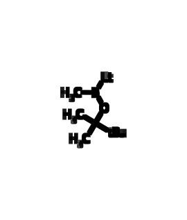 CCB(C)OC(C)(C)C(C)(C)C